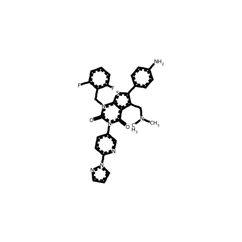 CN(C)Cc1c(-c2ccc(N)cc2)sc2c1c(=O)n(-c1ccc(-n3cccn3)nc1)c(=O)n2Cc1c(F)cccc1F